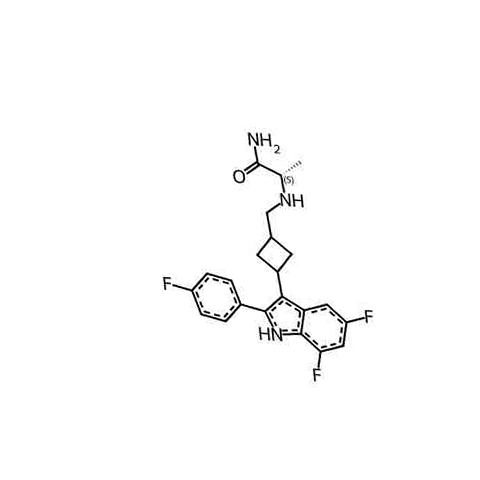 C[C@H](NCC1CC(c2c(-c3ccc(F)cc3)[nH]c3c(F)cc(F)cc23)C1)C(N)=O